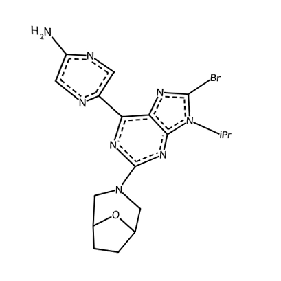 CC(C)n1c(Br)nc2c(-c3cnc(N)cn3)nc(N3CC4CCC(C3)O4)nc21